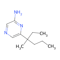 CCCC(C)(CC)c1cncc(N)n1